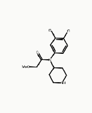 COCC(=O)N(c1ccc(Cl)c(Cl)c1)C1CCNCC1